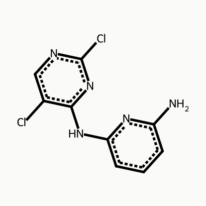 Nc1cccc(Nc2nc(Cl)ncc2Cl)n1